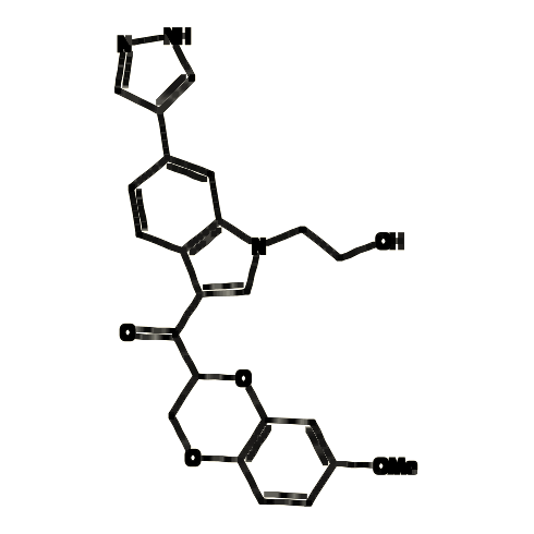 COc1ccc2c(c1)OC(C(=O)c1cn(CCO)c3cc(-c4cn[nH]c4)ccc13)CO2